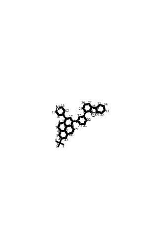 CC(C)(C)c1cc2ccc3c(-c4ccncc4)cc(-c4cccc(-c5cccc6c5oc5ccccc56)c4)c4ccc(c1)c2c34